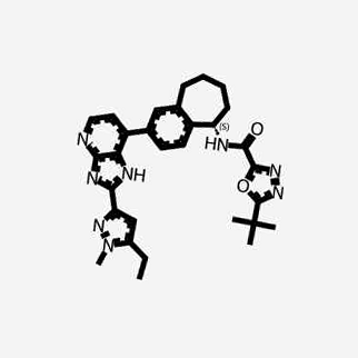 CCc1cc(-c2nc3nccc(-c4ccc5c(c4)CCCC[C@@H]5NC(=O)c4nnc(C(C)(C)C)o4)c3[nH]2)nn1C